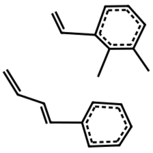 C=CC=Cc1ccccc1.C=Cc1cccc(C)c1C